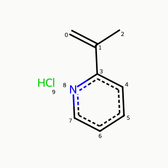 C=C(C)c1ccccn1.Cl